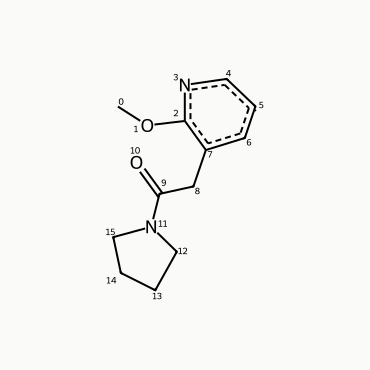 COc1nc[c]cc1CC(=O)N1CCCC1